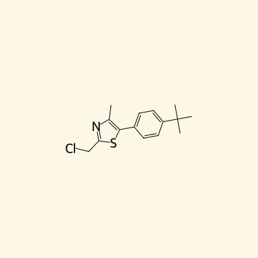 Cc1nc(CCl)sc1-c1ccc(C(C)(C)C)cc1